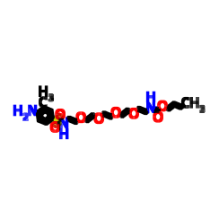 CCCCOC(=O)NCCOCCOCCOCCOCCNS(=O)(=O)c1ccc(N)c(C)c1